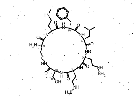 BNCC[C@@H]1NC(=O)[C@H](CC(C)C)NC(=O)[C@@H](Cc2ccccc2)NC(=O)[C@H](CCNC)NC(=O)[C@@H](N)CCNC(=O)[C@H]([C@@H](C)O)NC(=O)[C@H](CCNB)NC1=O